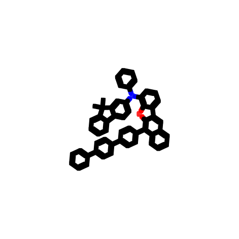 CC1(C)c2ccccc2-c2ccc(N(c3ccccc3)c3cccc4c3oc3c(-c5ccc(-c6ccc(-c7ccccc7)cc6)cc5)c5ccccc5cc34)cc21